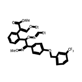 CCC=NOC(C(=NOC)c1ccc(OCc2cccc(C(F)(F)F)c2)cc1)c1ccccc1C(=COCC)C(=O)OC